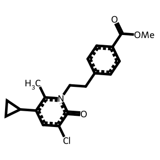 COC(=O)c1ccc(CCn2c(C)c(C3CC3)cc(Cl)c2=O)cc1